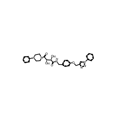 O=C(NCc1ccc(OCc2cn(-c3ccccc3)nn2)cc1)[C@H](O)[C@@H](O)C(=O)N1CCN(c2ccccc2)CC1